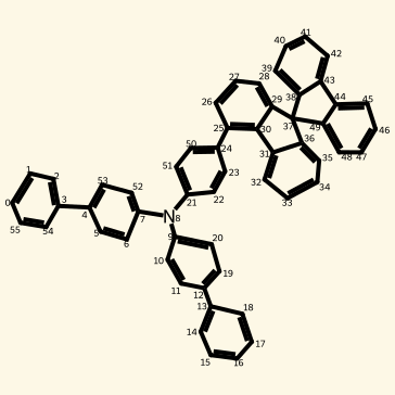 c1ccc(-c2ccc(N(c3ccc(-c4ccccc4)cc3)c3ccc(-c4cccc5c4-c4ccccc4C54c5ccccc5-c5ccccc54)cc3)cc2)cc1